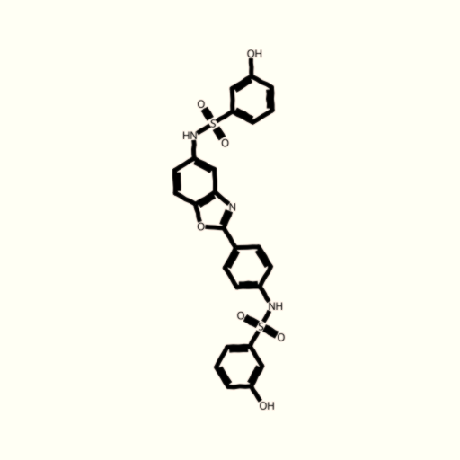 O=S(=O)(Nc1ccc(-c2nc3cc(NS(=O)(=O)c4cccc(O)c4)ccc3o2)cc1)c1cccc(O)c1